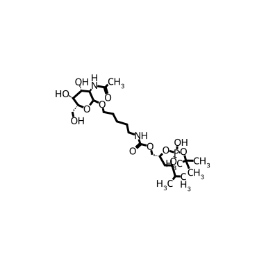 CC(=O)N[C@H]1C(OCCCCCNC(=O)OC[C@@H](CCC(C)C)OP(=O)(O)OC(C)(C)C)O[C@H](CO)[C@H](O)[C@@H]1O